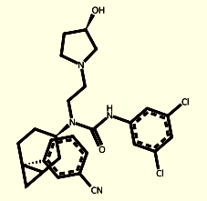 N#Cc1cccc([C@]23CC[C@@H](N(CCN4CC[C@@H](O)C4)C(=O)Nc4cc(Cl)cc(Cl)c4)CC2C3)c1